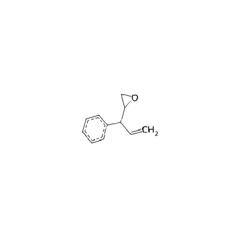 C=CC(c1ccccc1)C1CO1